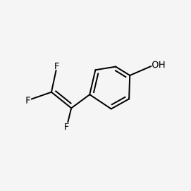 Oc1ccc(C(F)=C(F)F)cc1